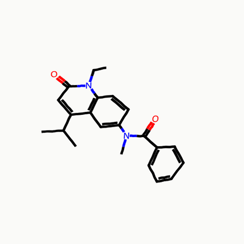 CCn1c(=O)cc(C(C)C)c2cc(N(C)C(=O)c3ccccc3)ccc21